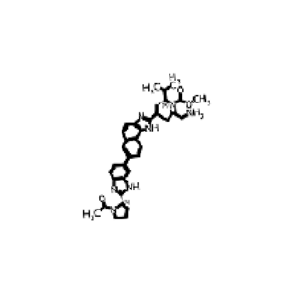 COC(=O)N[C@H](CC(CCCN)c1nc2ccc3cc(-c4ccc5nc([C@@H]6CCCN6C(C)=O)[nH]c5c4)ccc3c2[nH]1)C(C)C